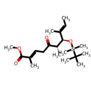 C/C=C(\C)[C@@H](O[Si](C)(C)C(C)(C)C)[C@H](C)C(=O)C/C=C(\C)C(=O)OC